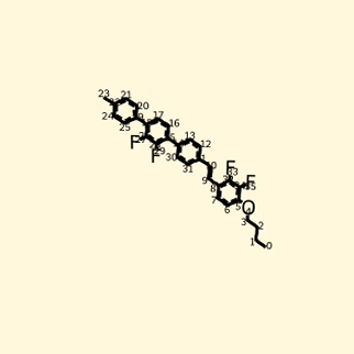 CCCCOc1ccc(/C=C/c2ccc(-c3ccc(-c4ccc(C)cc4)c(F)c3F)cc2)c(F)c1F